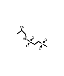 CC(C#N)CNS(=O)(=O)CCS(C)(=O)=O